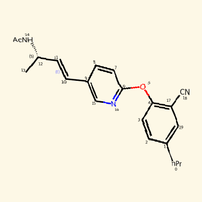 CCCc1ccc(Oc2ccc(/C=C/[C@H](C)NC(C)=O)cn2)c(C#N)c1